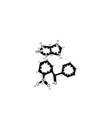 O=C(c1ccccc1)c1ccccc1[N+](=O)[O-].c1nc2n[nH]sc-2n1